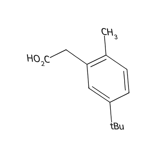 Cc1ccc(C(C)(C)C)cc1CC(=O)O